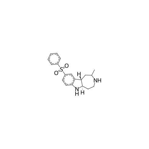 CC1C[C@H]2c3cc(S(=O)(=O)c4ccccc4)ccc3N[C@@H]2CCN1